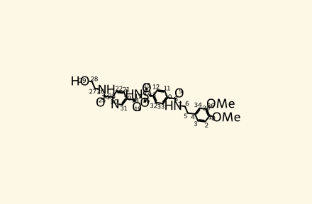 COc1ccc(CCNC(=O)c2ccc(S(=O)(=O)NC(=O)c3ccc(C(=O)NCCO)nc3)cc2)cc1OC